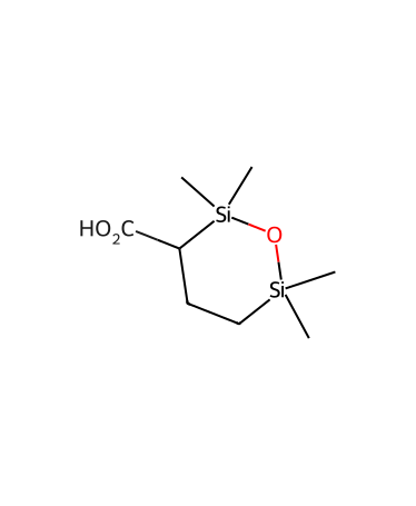 C[Si]1(C)CCC(C(=O)O)[Si](C)(C)O1